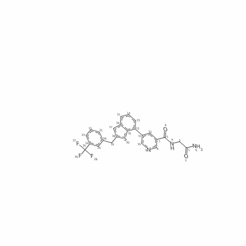 NC(=O)CNC(=O)c1cncc(-c2cccc3cc(Cc4cccc(C(F)(F)F)c4)sc23)c1